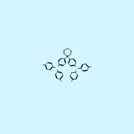 CC1=CCC(N(c2ccc(C)cc2)c2ccc(C3(c4ccc(N(c5ccc(C)cc5)c5ccc(C)cc5)cc4)CCCCC3)cc2)C=C1